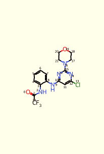 O=C(Nc1ccccc1Nc1cc(Cl)nc(N2CCOCC2)n1)C(F)(F)F